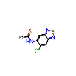 CCC(=S)Nc1cc2nsnc2cc1Cl